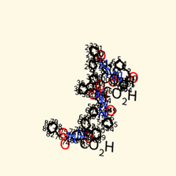 O=C1Cc2ccccc2N(C(=O)N2CCN(C(=O)C3(c4ccccc4)CCC(c4ccc5c(c4)-c4ccccc4C5(O)C(=O)N4CCN(C(=O)N(c5ccccc5)c5cccc(C6CCCC(C(=O)N7CCN(C(=O)OCc8ccccc8)C[C@H]7C(=O)O)(c7ccccc7)C6)c5)C[C@H]4C(=O)O)C3)C[C@H]2C(=O)O)c2ccccc21